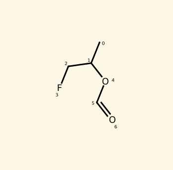 CC(CF)OC=O